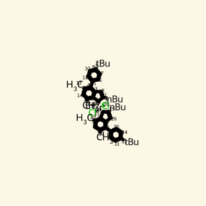 CCCCC1=Cc2c(-c3ccc(C(C)(C)C)cc3)c(C)cc(C)c2[CH]1[Zr]([Cl])([Cl])([CH2]C)[CH]1C(CCCC)=Cc2c(-c3ccc(C(C)(C)C)cc3)c(C)cc(C)c21